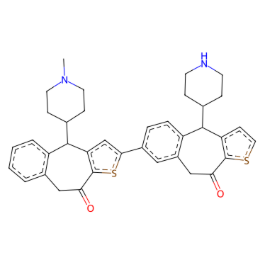 CN1CCC(C2c3ccccc3CC(=O)c3sc(-c4ccc5c(c4)CC(=O)c4sccc4C5C4CCNCC4)cc32)CC1